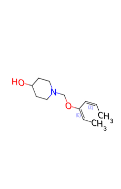 C/C=C\C(=C/C)OCN1CCC(O)CC1